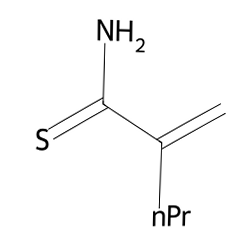 C=C(CCC)C(N)=S